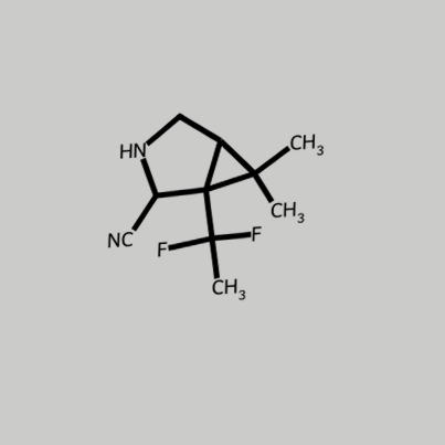 CC(F)(F)C12C(C#N)NCC1C2(C)C